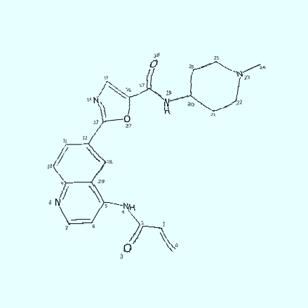 C=CC(=O)Nc1ccnc2ccc(-c3ncc(C(=O)NC4CCN(C)CC4)o3)cc12